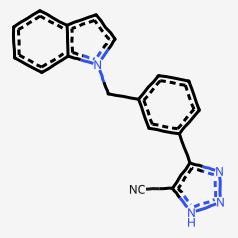 N#Cc1[nH]nnc1-c1cccc(Cn2ccc3ccccc32)c1